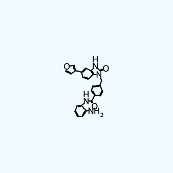 Nc1ccccc1NC(=O)c1ccc(Cn2c(=O)[nH]c3cc(-c4ccoc4)ccc32)cc1